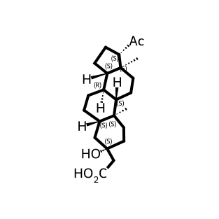 CC(=O)[C@H]1CC[C@H]2[C@@H]3CC[C@H]4C[C@](O)(CC(=O)O)CC[C@]4(C)[C@H]3CC[C@]12C